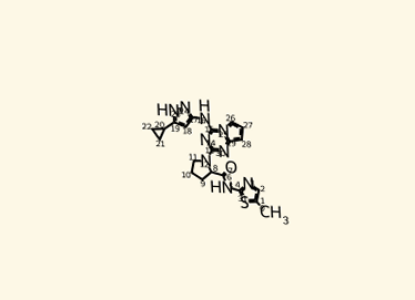 Cc1cnc(NC(=O)C2CCCN2c2nc(Nc3cc(C4CC4)[nH]n3)n3cccc3n2)s1